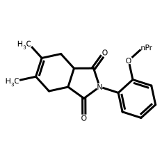 CCCOc1ccccc1N1C(=O)C2CC(C)=C(C)CC2C1=O